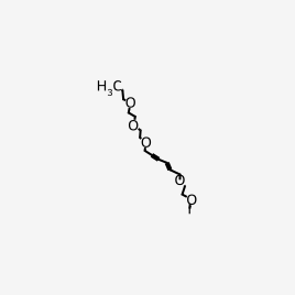 CCCOCCOCCOCC#CC#CCOCCOI